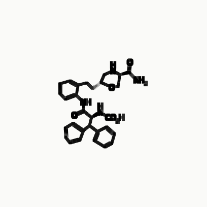 NC(=O)[C@H]1CO[C@H](CCc2ccccc2NC(=O)[C@@H](NC(=O)O)C(c2ccccc2)c2ccccc2)CN1